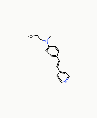 CN(CCC#N)c1ccc(/C=C/c2ccncc2)cc1